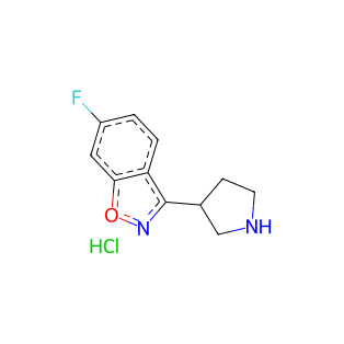 Cl.Fc1ccc2c(C3CCNC3)noc2c1